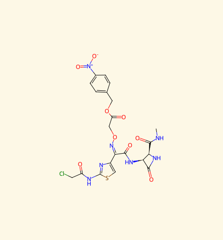 CNC(=O)[C@H]1NC(=O)[C@H]1NC(=O)C(=NOCC(=O)OCc1ccc([N+](=O)[O-])cc1)c1csc(NC(=O)CCl)n1